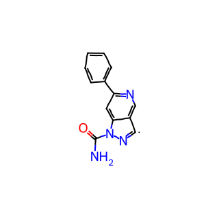 NC(=O)n1n[c]c2cnc(-c3ccccc3)cc21